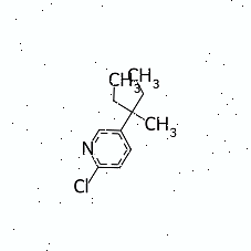 CCC(C)(CC)c1ccc(Cl)nc1